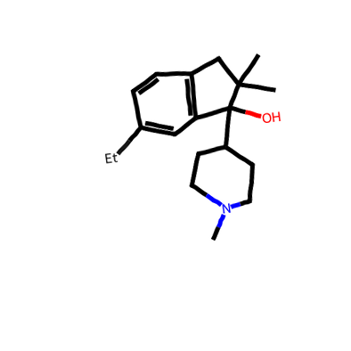 CCc1ccc2c(c1)C(O)(C1CCN(C)CC1)C(C)(C)C2